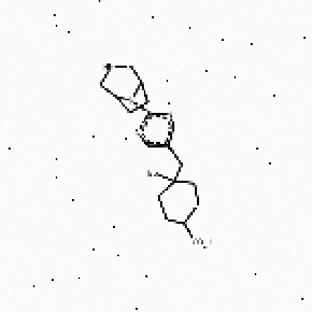 CCC1(Cc2cnc(N3C4CCC3CNC4)nc2)CCC(C(=O)O)CC1